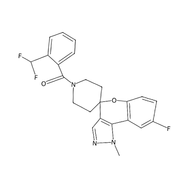 Cn1ncc2c1-c1cc(F)ccc1OC21CCN(C(=O)c2ccccc2C(F)F)CC1